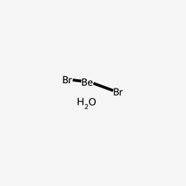 O.[Br][Be][Br]